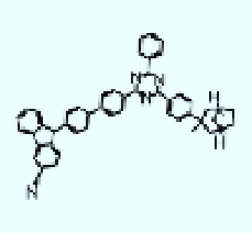 CC1(c2ccc(-c3nc(-c4ccccc4)nc(-c4ccc(-c5ccc(C6c7ccccc7-c7cc(C#N)ccc76)cc5)cc4)n3)cc2)C[C@@H]2CC[C@@H](C2)C1